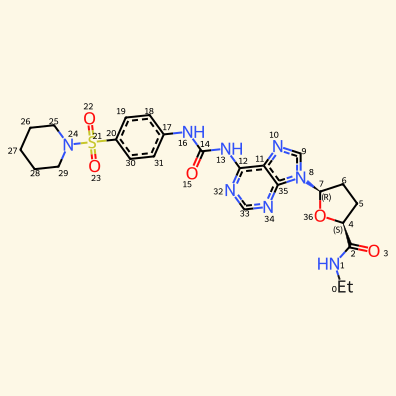 CCNC(=O)[C@@H]1CC[C@H](n2cnc3c(NC(=O)Nc4ccc(S(=O)(=O)N5CCCCC5)cc4)ncnc32)O1